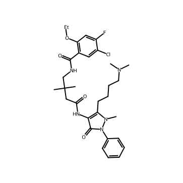 CCOc1cc(F)c(Cl)cc1C(=O)NCC(C)(C)CC(=O)Nc1c(CCCCN(C)C)n(C)n(-c2ccccc2)c1=O